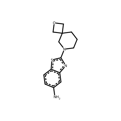 Nc1ccc2sc(N3CCCC4(COC4)C3)nc2c1